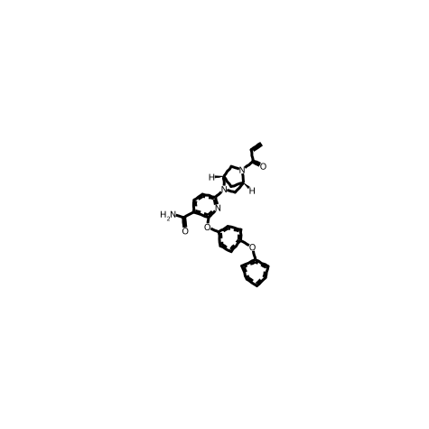 C=CC(=O)N1C[C@@H]2C[C@H]1CN2c1ccc(C(N)=O)c(Oc2ccc(Oc3ccccc3)cc2)n1